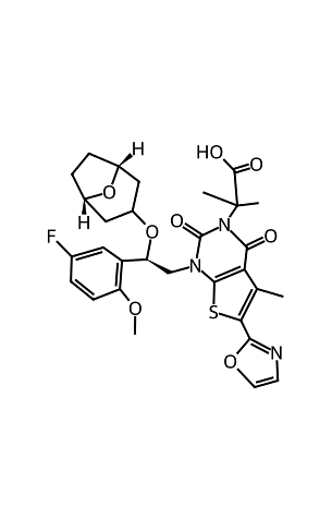 COc1ccc(F)cc1[C@H](Cn1c(=O)n(C(C)(C)C(=O)O)c(=O)c2c(C)c(-c3ncco3)sc21)OC1C[C@H]2CC[C@@H](C1)O2